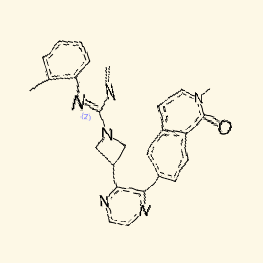 C=N/C(=N\c1ccccc1C)N1CC(c2nccnc2-c2ccc3c(=O)n(C)ccc3c2)C1